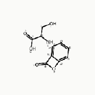 NC(CO)C(=O)O.O=C1Oc2ccccc21